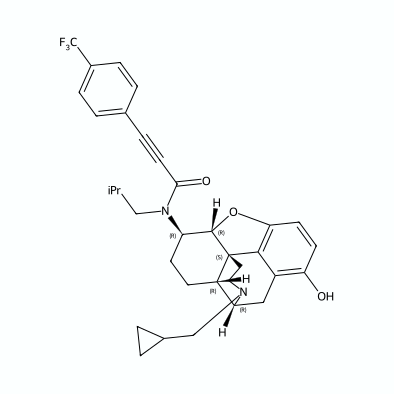 CC(C)CN(C(=O)C#Cc1ccc(C(F)(F)F)cc1)[C@@H]1CC[C@H]2[C@H]3Cc4c(O)ccc5c4[C@@]2(CCN3CC2CC2)[C@H]1O5